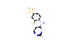 CCN(c1ccnc(N)n1)c1ccc(S(C)(=O)=O)cc1Br